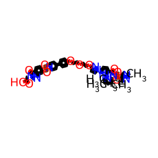 Cc1nn(C)cc1S(=O)(=O)NC(=O)c1ccc(-n2ccc(OCCOCCOc3ccc(C4CCN(S(=O)(=O)c5ccc6c(=O)n(CC(=O)O)cnc6c5)CC4)cc3)n2)nc1N1C[C@@H](C)CC1(C)C